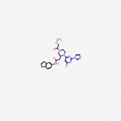 COCC(=O)N1CCN(c2cc(Cl)nc(-n3ccnc3)n2)C(CC(=O)Nc2ccc3c(c2)C=CC3)C1